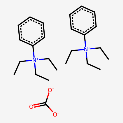 CC[N+](CC)(CC)c1ccccc1.CC[N+](CC)(CC)c1ccccc1.O=C([O-])[O-]